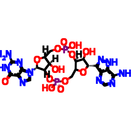 Nc1nc2c(ncn2[C@@H]2O[C@@H]3COP(=O)(O)O[C@@H]4C(COP(=O)(O)O[C@@H]2[C@@H]3O)O[C@@H](c2n[nH]c3c(N)ncnc23)[C@@H]4O)c(=O)[nH]1